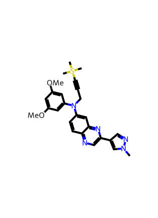 COc1cc(OC)cc(N(CC#CS(C)(C)C)c2ccc3ncc(-c4cnn(C)c4)nc3c2)c1